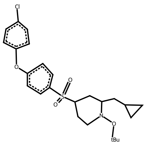 CC(C)(C)ON1CCC(S(=O)(=O)c2ccc(Oc3ccc(Cl)cc3)cc2)CC1CC1CC1